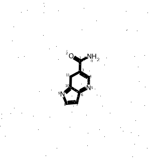 NC(=O)C1=CN=C2C=CN=C2C1